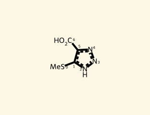 CSc1[nH]nnc1C(=O)O